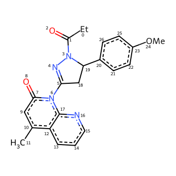 CCC(=O)N1N=C(n2c(=O)cc(C)c3cccnc32)CC1c1ccc(OC)cc1